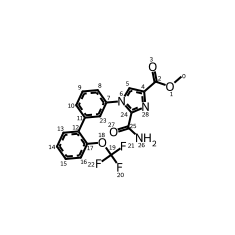 COC(=O)c1cn(-c2cccc(-c3ccccc3OC(F)(F)F)c2)c(C(N)=O)n1